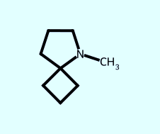 CN1CCCC12CCC2